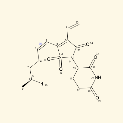 C=CC1=C(/C=C\CC[C@H](C)I)S(=O)(=O)N(C2CCC(=O)NC2=O)C1=O